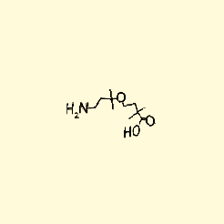 CC(C)(CCN)OCCC(C)(C)C(=O)O